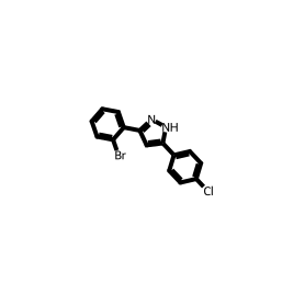 Clc1ccc(-c2cc(-c3ccccc3Br)n[nH]2)cc1